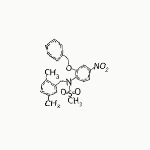 Cc1ccc(C)c(CN(c2ccc([N+](=O)[O-])cc2OCc2ccccc2)S(C)(=O)=O)c1